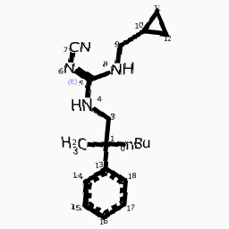 CCCCC(C)(CN/C(=N/C#N)NCC1CC1)c1ccccc1